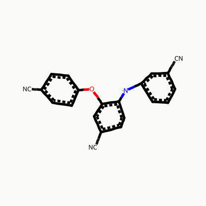 N#Cc1ccc(Oc2cc(C#N)ccc2[N]c2cccc(C#N)c2)cc1